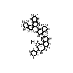 C=C1C=C(c2ccccc2)C=Cc2ccc3ccc(-c4ccc(-c5nc6ccccc6c6c5ccc5ccccc56)c5ccccc45)nc3c21